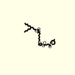 CCCCCC(CCCCC)CCCOC(=O)C(C)(C)CCCCCCN1CC[C@H](OC(=O)CCC(=O)N2CC=C(C)CCC2)C1